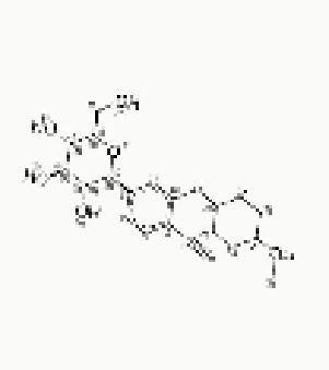 C#Cc1ccc([C@@H]2O[C@H](CO)[C@@H](O)[C@H](O)[C@H]2O)cc1CC1CCC(OC)CC1